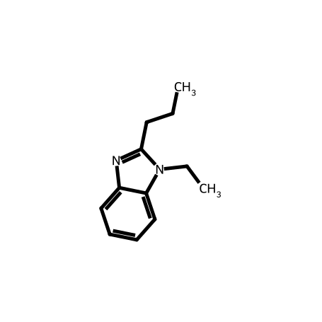 CCCc1nc2ccccc2n1CC